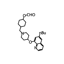 CCCCc1cc(OC2CCN(CC3CCC(OC=O)CC3)CC2)c2ncccc2c1